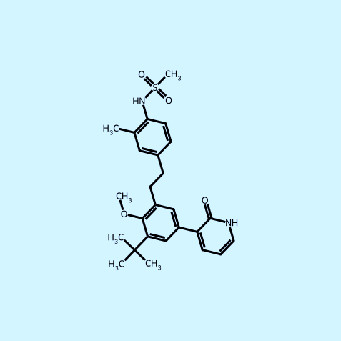 COc1c(CCc2ccc(NS(C)(=O)=O)c(C)c2)cc(-c2ccc[nH]c2=O)cc1C(C)(C)C